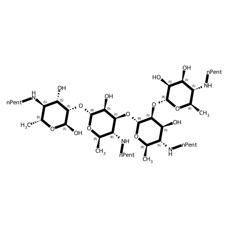 CCCCCN[C@H]1[C@H](O)[C@H](O)[C@@H](O[C@@H]2[C@@H](O[C@@H]3[C@H](O)[C@@H](O[C@H]4[C@@H](O)[C@H](NCCCCC)[C@@H](C)O[C@@H]4O)O[C@H](C)[C@H]3NCCCCC)O[C@H](C)[C@@H](NCCCCC)[C@@H]2O)O[C@@H]1C